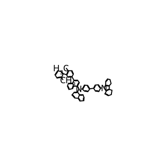 Cc1ccccc1-c1cc(-c2ccc(N(c3ccc(-c4ccc(-n5c6c(c7c5C=CCC7)CCC=C6)cc4)cc3)c3cccc4ccccc34)c3ccccc23)ccc1C